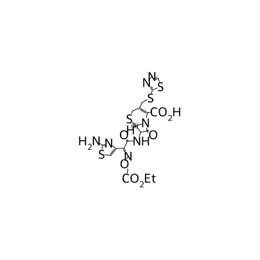 CCOC(=O)CON=C(C(=O)NC1C(=O)N2C(C(=O)O)=C(CSc3nncs3)CS[C@@H]12)c1csc(N)n1